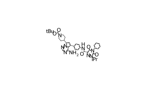 CC(C)n1nc(C(=O)Nc2ccc(-c3cc(C4CCN(C(=O)OC(C)(C)C)CC4)n4ncnc(N)c34)cc2)c(=O)n(-c2ccccc2)c1=O